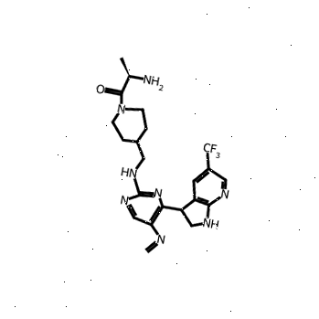 C=Nc1cnc(NCC2CCN(C(=O)[C@@H](C)N)CC2)nc1C1CNc2ncc(C(F)(F)F)cc21